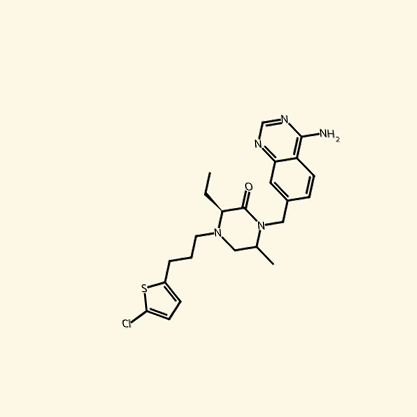 CC[C@H]1C(=O)N(Cc2ccc3c(N)ncnc3c2)C(C)CN1CCCc1ccc(Cl)s1